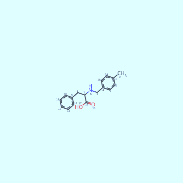 Cc1ccc(CNC(Cc2ccccc2)C(=O)O)cc1